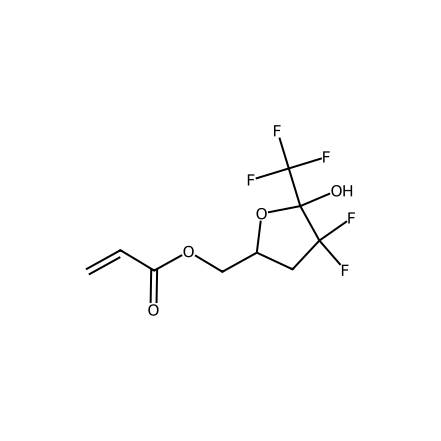 C=CC(=O)OCC1CC(F)(F)C(O)(C(F)(F)F)O1